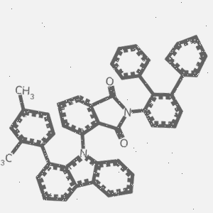 Cc1ccc(-c2cccc3c4ccccc4n(-c4cccc5c4C(=O)N(c4cccc(-c6ccccc6)c4-c4ccccc4)C5=O)c23)c(C)c1